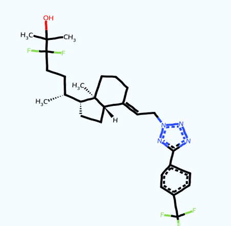 C[C@H](CCC(F)(F)C(C)(C)O)[C@H]1CC[C@H]2/C(=C/Cn3nnc(-c4ccc(C(F)(F)F)cc4)n3)CCC[C@]12C